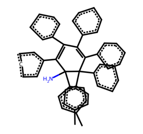 Cc1ccc(C2(N)C(c3ccccc3)=C(c3ccccc3)C(c3ccccc3)=C(c3ccccc3)C2(c2ccccc2)c2ccc(C)cc2)cc1